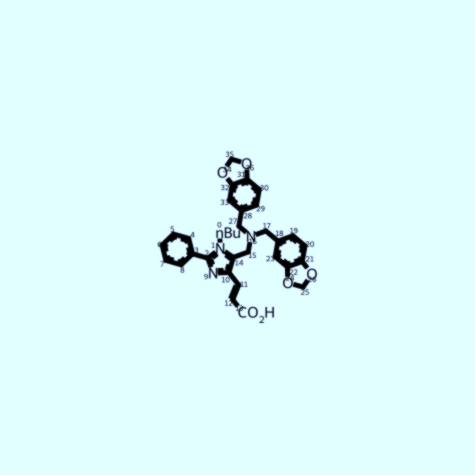 CCCCn1c(-c2ccccc2)nc(C=CC(=O)O)c1CN(Cc1ccc2c(c1)OCO2)Cc1ccc2c(c1)OCO2